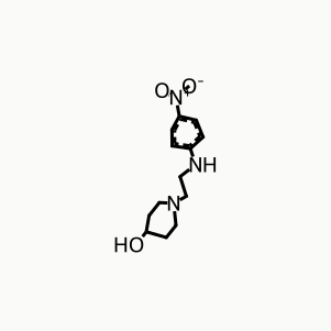 O=[N+]([O-])c1ccc(NCCN2CCC(O)CC2)cc1